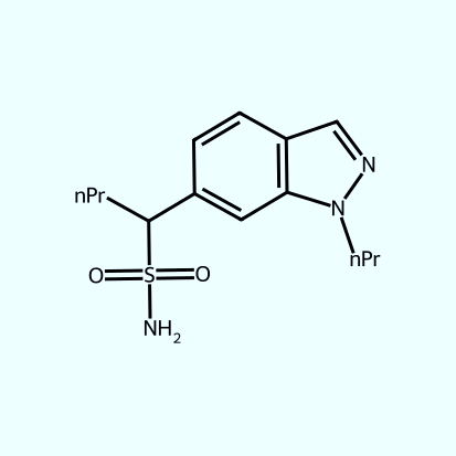 CCCC(c1ccc2cnn(CCC)c2c1)S(N)(=O)=O